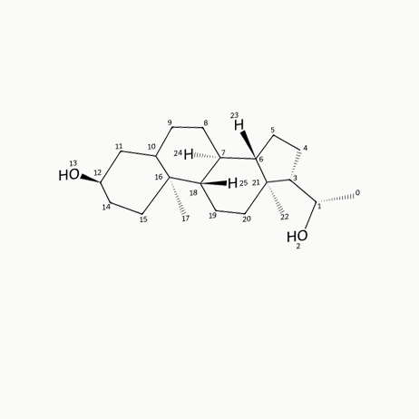 C[C@H](O)[C@H]1CC[C@H]2[C@@H]3CCC4C[C@H](O)CC[C@]4(C)[C@H]3CC[C@]12C